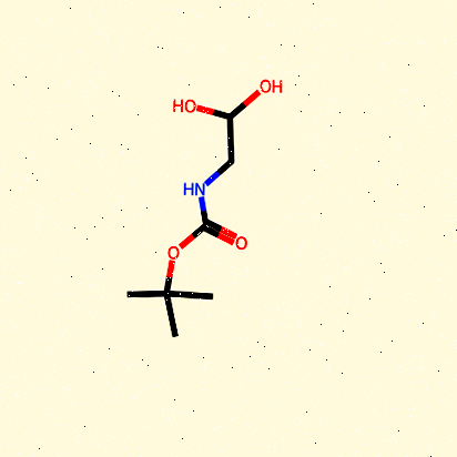 CC(C)(C)OC(=O)NCC(O)O